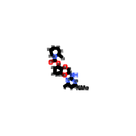 CNc1cc(C)nc(NC2COc3c(OC(=O)N4CC=CCCC4C)cccc3O2)n1